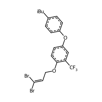 CCC(C)c1ccc(Oc2ccc(OCC=C(Br)Br)c(C(F)(F)F)c2)cc1